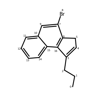 CCCC1=CCc2c(Br)cc3ccccc3c21